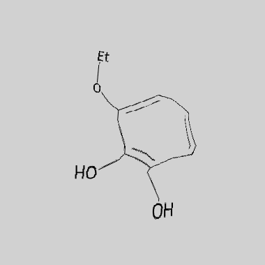 CCOc1cccc(O)c1O